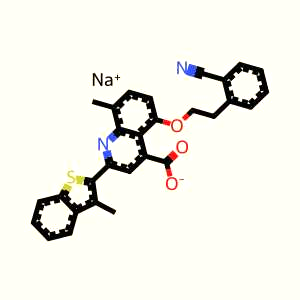 Cc1c(-c2cc(C(=O)[O-])c3c(OCCc4ccccc4C#N)ccc(C)c3n2)sc2ccccc12.[Na+]